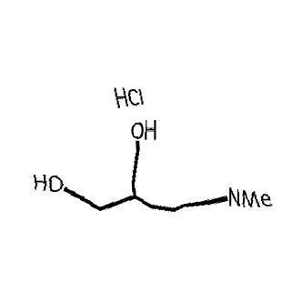 CNCC(O)CO.Cl